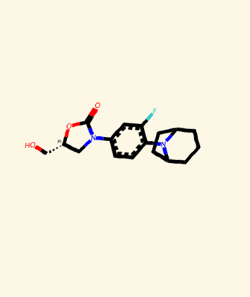 O=C1O[C@@H](CO)CN1c1ccc(N2C3CCCC2CC3)c(F)c1